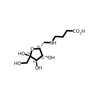 O=C(O)CCCNC[C@H]1O[C@@](O)(CO)[C@H](O)[C@H]1O